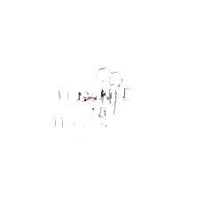 CCOc1ccc2ccccc2c1C(=O)N[C@@H]1C(=O)N2[C@@H]1SC(C)(C)[C@@H]2C(=O)O.O.[NaH]